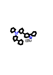 CC(C)(C)n1c2ccccc2c2cc(-c3cccc(N(c4ccccc4)c4cccc(-c5ccccc5)c4)c3)ccc21